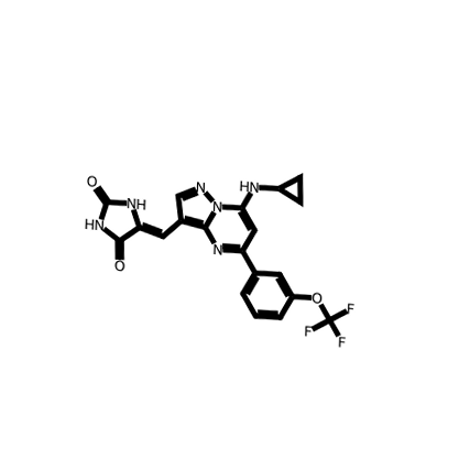 O=C1NC(=O)C(=Cc2cnn3c(NC4CC4)cc(-c4cccc(OC(F)(F)F)c4)nc23)N1